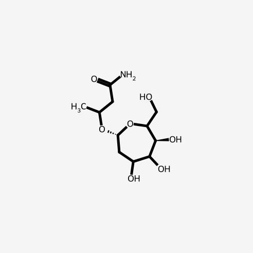 CC(CC(N)=O)O[C@H]1CC(O)C(O)[C@H](O)C(CO)O1